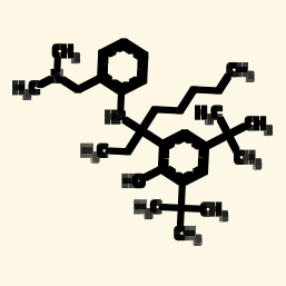 CCCCCC(CC)(Pc1ccccc1CN(C)C)c1cc(C(C)(C)C)cc(C(C)(C)C)c1O